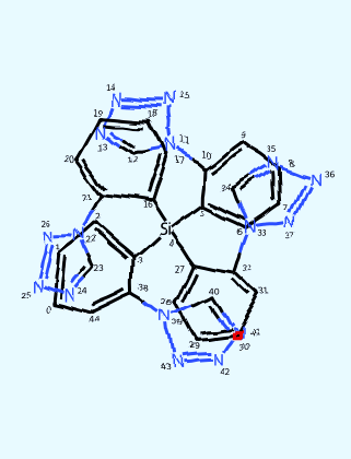 c1ccc([Si](c2ccccc2-n2cnnn2)(c2ccccc2-n2cnnn2)c2ccccc2-n2cnnn2)c(-n2cnnn2)c1